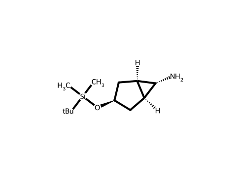 CC(C)(C)[Si](C)(C)O[C@@H]1C[C@@H]2[C@@H](N)[C@@H]2C1